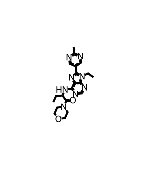 CCC(Nc1ncnc2c1nc(-c1cnc(C)nc1)n2CC)C(=O)N1CCOCC1